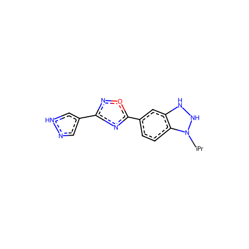 CC(C)N1NNc2cc(-c3nc(-c4cn[nH]c4)no3)ccc21